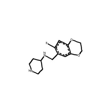 Fc1cc2c(cc1CNC1CCNCC1)OCCO2